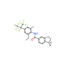 CCc1cc(C(F)(C(C)(F)F)C(F)(F)F)cc(C)c1NC(=O)c1ccc2c(c1)CC[C@H]2C